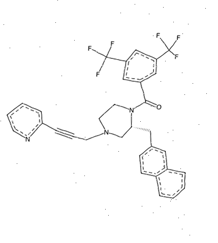 O=C(c1cc(C(F)(F)F)cc(C(F)(F)F)c1)N1CCN(CC#Cc2ccccn2)C[C@H]1Cc1ccc2ccccc2c1